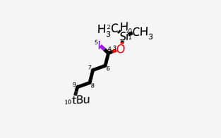 C[SiH](C)OC(I)CCCCC(C)(C)C